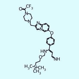 C[Si](C)(C)CCOCN/C(=C\C=N)c1ccc(Oc2ccc3nc(CN4CCN(C(=O)C(F)(F)F)CC4)cn3c2)cc1